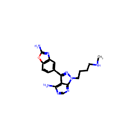 CNCCCCn1nc(-c2ccc3oc(N)nc3c2)c2c(N)ncnc21